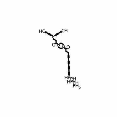 C#CC#CP(C#CC#C)CCC(=O)N1CCN(C(=O)CCC#CC#CC#CC#CPPPPP)CC1